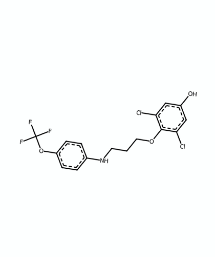 Oc1cc(Cl)c(OCCCNc2ccc(OC(F)(F)F)cc2)c(Cl)c1